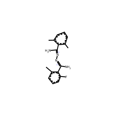 Cc1cccc(C)c1/C(N)=N/N=C(\N)c1c(C)cccc1F